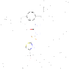 C[C@@H](c1ccc2c(c1NC(=O)NS(=O)(=O)c1nc(C(C)(C)O)cs1)CCC2)C1CC1